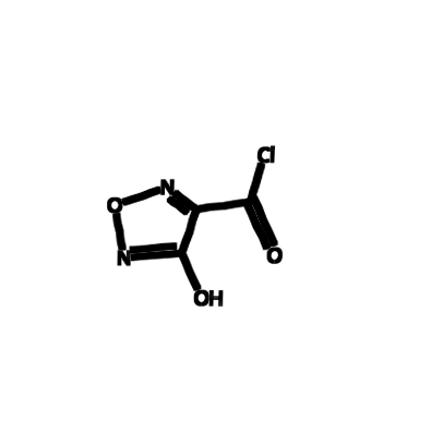 O=C(Cl)c1nonc1O